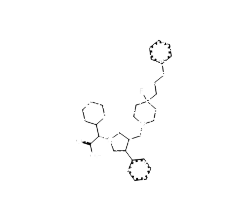 O=C(O)C(C1CCCCC1)N1CC(CN2CCC(F)(CCCc3ccccc3)CC2)C(c2ccccc2)C1